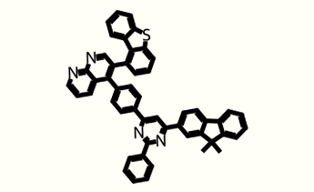 CC1(C)c2ccccc2-c2ccc(-c3cc(-c4ccc(-c5c(-c6cccc7sc8ccccc8c67)cnc6ncccc56)cc4)nc(-c4ccccc4)n3)cc21